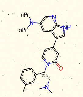 CCCN(CCC)c1cnc2[nH]cc(-c3ccn([C@H](CN(C)C)c4cccc(C)c4)c(=O)c3)c2c1